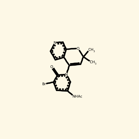 CC(=O)Nc1cc(Br)c(=O)n(C2=CC(C)(C)Oc3cnccc32)c1